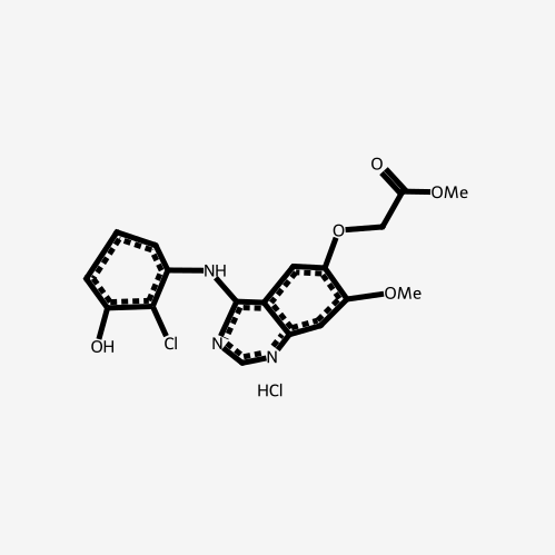 COC(=O)COc1cc2c(Nc3cccc(O)c3Cl)ncnc2cc1OC.Cl